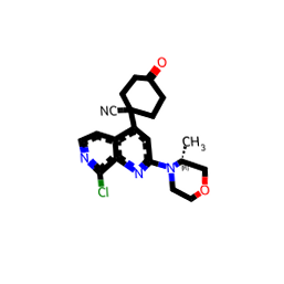 C[C@@H]1COCCN1c1cc(C2(C#N)CCC(=O)CC2)c2ccnc(Cl)c2n1